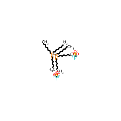 CCCCCCCC[PH](CCCCCCCC)(CCCCCCCC)[Pt+2][PH](CCCCCCCC)(CCCCCCCC)CCCCCCCC.O=S(=O)([O-])C(F)(F)F.O=S(=O)([O-])C(F)(F)F